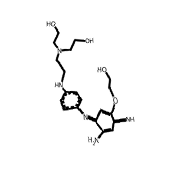 N=C1C=C(N)/C(=N/c2ccc(NCCN(CCO)CCO)cc2)C=C1OCCO